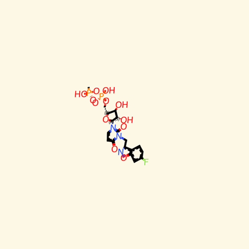 CP(=O)(O)OP(=O)(O)OC[C@H]1O[C@@H](n2ccc(=O)n(Cc3noc4cc(F)ccc34)c2=O)[C@@H](O)C1O